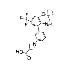 O=C(O)C1CN(c2cccc(-c3cc(C(F)(F)F)cc4c3NCC3(CCC3)O4)c2)C1